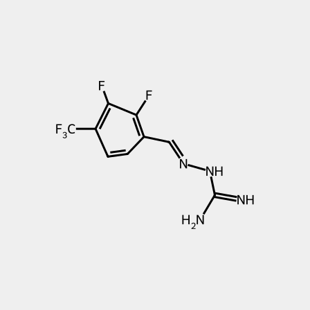 N=C(N)NN=Cc1ccc(C(F)(F)F)c(F)c1F